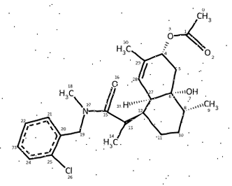 CC(=O)O[C@@H]1[CH][C@@]2(O)[C@H](C)CC[C@@H](C(C)C(=O)N(C)Cc3ccccc3Cl)[C@H]2C=C1C